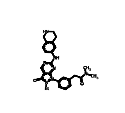 CCn1c(=O)c2cnc(Nc3ccc4c(c3)CCNC4)nc2n1-c1cccc(CC(=O)N(C)C)c1